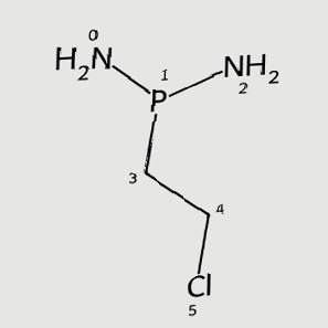 NP(N)CCCl